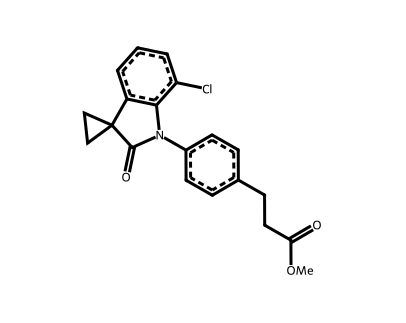 COC(=O)CCc1ccc(N2C(=O)C3(CC3)c3cccc(Cl)c32)cc1